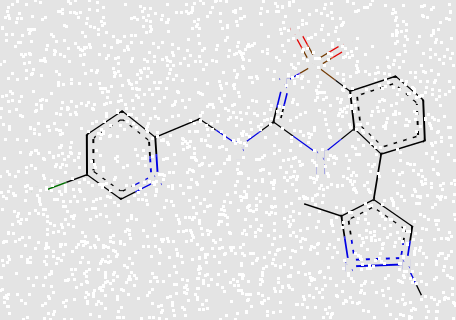 Cc1nn(C)cc1-c1cccc2c1NC(NCc1ccc(Cl)cn1)=NS2(=O)=O